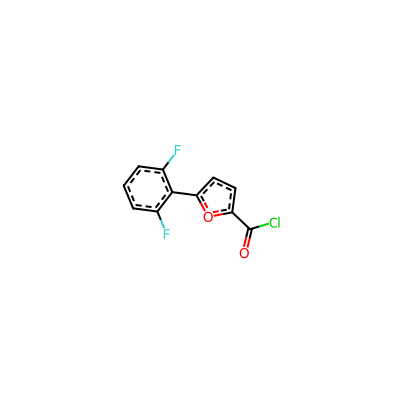 O=C(Cl)c1ccc(-c2c(F)cccc2F)o1